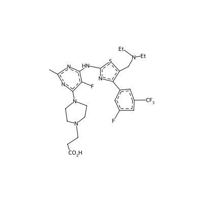 CCN(CC)Cc1sc(Nc2nc(C)nc(N3CCN(CCC(=O)O)CC3)c2F)nc1-c1cc(F)cc(C(F)(F)F)c1